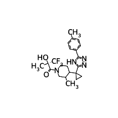 Cc1ccc(-c2nnc(C3(C4CCN(C(=O)[C@@](C)(O)C(F)(F)F)CC4C)CC3)[nH]2)cc1